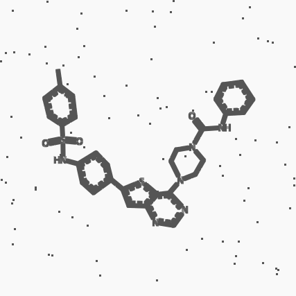 Cc1ccc(S(=O)(=O)Nc2ccc(-c3cc4ncnc(N5CCN(C(=O)Nc6ccccc6)CC5)c4s3)cc2)cc1